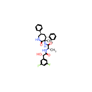 C[C@H](NC(=O)[C@@H](O)c1cc(F)cc(F)c1)C(=O)N[C@]1(C)C(=O)NC[C@@H](c2ccccc2)C[C@@H]1c1ccccc1